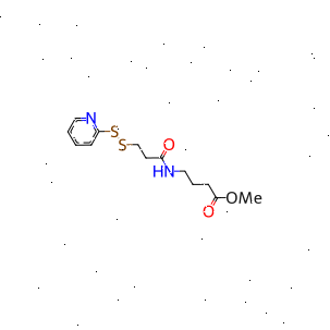 COC(=O)CCCNC(=O)CCSSc1ccccn1